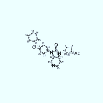 CC(=O)N1CC[C@@H](n2c(=O)n(-c3ccc(Oc4ccccc4)cc3)c3cnccc32)C1